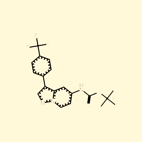 CC(C)(C)OC(=O)Nc1ccn2ncc(-c3ccc(C(F)(F)F)cc3)c2c1